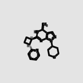 C=C1NC([C@@H]2CC[C@H]2c2ccccn2)=Nc2c1cnn2C1CCOCC1